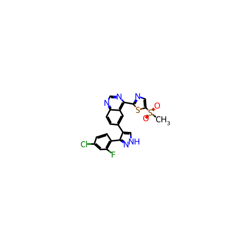 CS(=O)(=O)c1cnc(-c2ncnc3ccc(-c4c[nH]nc4-c4ccc(Cl)cc4F)cc23)s1